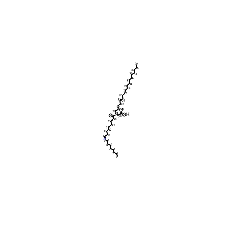 CCCCCCCC/C=C\CCCCCCCC(=O)N(CCCCCCCCCCCCCCCCCCC)CC(=O)O